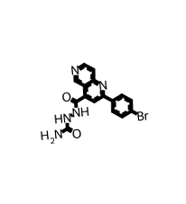 NC(=O)NNC(=O)c1cc(-c2ccc(Br)cc2)nc2ccncc12